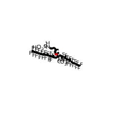 CC(CCNC(=O)O)CC(C)(C)C(CC(F)(F)C(F)(F)C(F)(F)C(F)(F)C(F)(F)C(F)(F)C(F)(F)C(F)F)(CC(F)(F)C(F)(F)C(F)(F)C(F)(F)C(F)(F)C(F)(F)C(F)(F)C(F)F)NC(=O)O